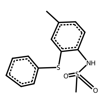 Cc1ccc(NS(C)(=O)=O)c(Sc2ccccc2)c1